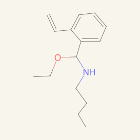 C=Cc1ccccc1C(NCCCC)OCC